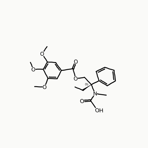 CC[C@@](COC(=O)c1cc(OC)c(OC)c(OC)c1)(c1ccccc1)N(C)C(=O)O